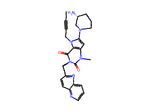 CC#CCn1c(N2CCC[C@@H](N)C2)cc2c1c(=O)n(Cc1ccc3ncccc3n1)c(=O)n2C